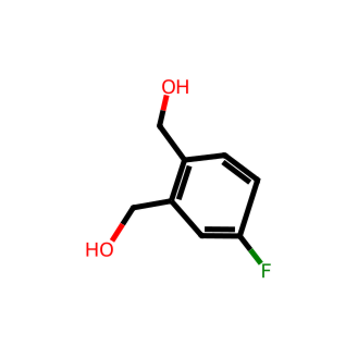 OCc1ccc(F)cc1CO